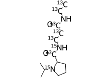 CC(C)[15N]1CCCC1[13C](=O)[15NH][13CH2][13CH2][13C](=O)N[13CH2][13CH3]